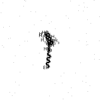 CC/C=C\C/C=C\C/C=C\C/C=C\C/C=C\C/C=C\CCC(=O)NCCNC(=O)[C@]12CCC[C@H](C)C1C1=CCC3[C@@]4(C)CC[C@H](O)C(C)(C)C4CC[C@@]3(C)[C@]1(C)CC2